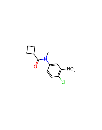 CN(C(=O)C1CCC1)c1ccc(Cl)c([N+](=O)[O-])c1